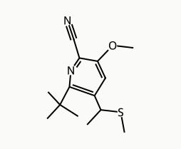 COc1cc(C(C)SC)c(C(C)(C)C)nc1C#N